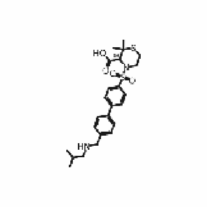 CC(C)CNCc1ccc(-c2ccc(S(=O)(=O)N3CCSC(C)(C)[C@@H]3C(=O)O)cc2)cc1